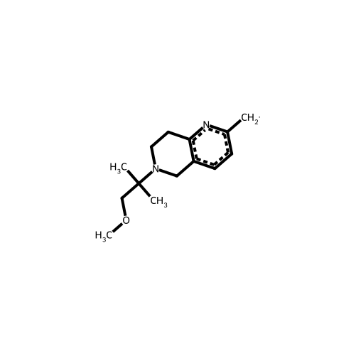 [CH2]c1ccc2c(n1)CCN(C(C)(C)COC)C2